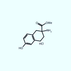 COC(=O)C1(N)CCc2cc(O)ccc2C1.Cl